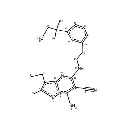 CCc1c(C)nn2c(N)c(C#N)c(NCCc3cccc(C(C)(C)CO)n3)nc12